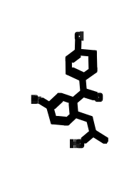 CC(O)Cc1ccc(Br)cc1C(=O)c1ccc(Cl)cc1